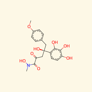 COc1ccc(C[C@@](O)(CC(=O)C(=O)N(C)O)c2ccc(O)c(O)c2O)cc1